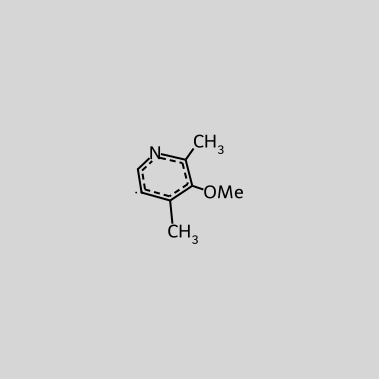 COc1c(C)[c]cnc1C